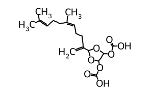 C=C(CCC=C(C)CCC=C(C)C)C1OC(OC(=O)O)C(OC(=O)O)O1